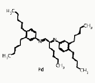 CCCCCC(/C=N/c1ccc(CCCCC)c(CCCCC)c1)=N\c1ccc(CCCCC)c(CCCCC)c1.[Pd]